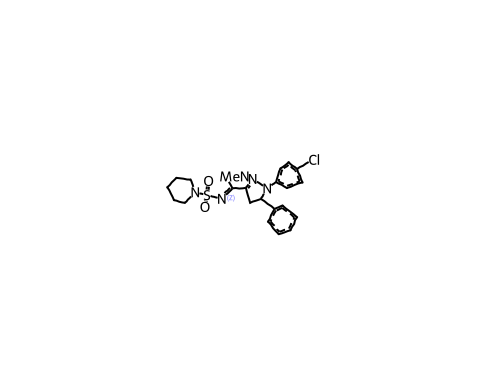 CN/C(=N\S(=O)(=O)N1CCCCC1)C1=NN(c2ccc(Cl)cc2)C(c2ccccc2)C1